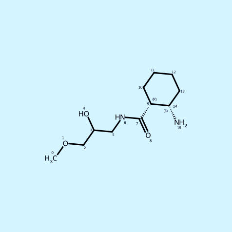 COCC(O)CNC(=O)[C@@H]1CCCC[C@@H]1N